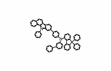 c1ccc(-c2cccc(N(c3ccc(-c4ccc5c6ccc7ccccc7c6n(-c6ccccc6)c5c4)cc3)c3cccc4c3-c3ccccc3C4(c3ccccc3)c3ccccc3)c2)cc1